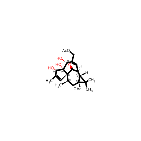 CC(=O)OCC1=C[C@@H]2C(=O)[C@]3(C=C(C)[C@H](O)[C@@]3(O)[C@@H]1O)[C@H](C)C[C@]1(OC(C)=O)[C@H]2C1(C)C